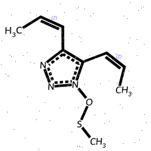 C/C=C\c1nnn(OSC)c1/C=C\C